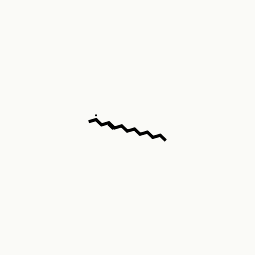 C[CH]CC=CCCCCCCCC